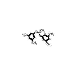 Cc1cc(C)cc(OP(C)Oc2cc(C)cc(P)c2)c1